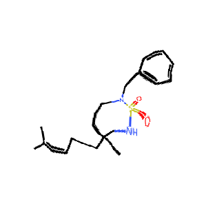 CC(C)=CCCC1(C)CCN(Cc2ccccc2)S(=O)(=O)N1